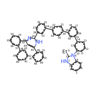 CCC1Nc2ccccc2N1c1cccc(-c2cccc(-c3ccc(-c4cccc(C5N=C(c6ccccc6-c6ccccc6)C=C(c6ccccc6)N5)c4)cc3)c2)c1